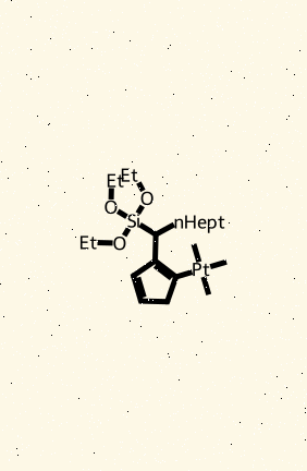 CCCCCCCC(C1=[C]([Pt]([CH3])([CH3])[CH3])CC=C1)[Si](OCC)(OCC)OCC